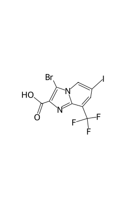 O=C(O)c1nc2c(C(F)(F)F)cc(I)cn2c1Br